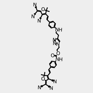 CC1(C)OC(=C(C#N)C#N)C(C#N)=C1/C=C/c1ccc(NCCc2cn(CCOC(=O)Nc3ccc(/C=C/C4=C(C#N)C(=C(C#N)C#N)OC4(C)C)cc3)nn2)cc1